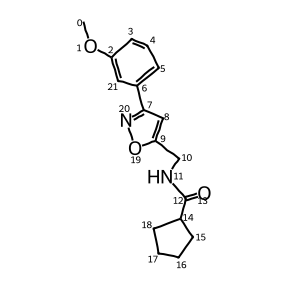 COc1cccc(-c2cc(CNC(=O)C3CCCC3)on2)c1